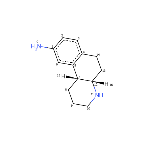 Nc1ccc2c(c1)[C@H]1CCCN[C@H]1CC2